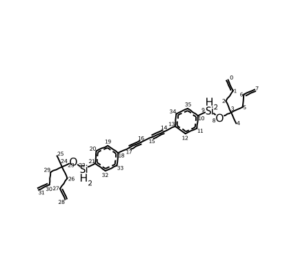 C=CCC(C)(CC=C)O[SiH2]c1ccc(C#CC#Cc2ccc([SiH2]OC(C)(CC=C)CC=C)cc2)cc1